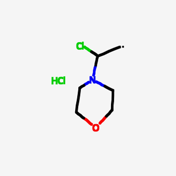 Cl.[CH2]C(Cl)N1CCOCC1